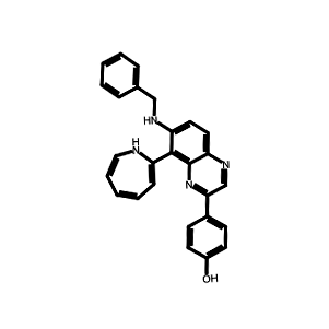 Oc1ccc(-c2cnc3ccc(NCc4ccccc4)c(C4=CC=CC=CN4)c3n2)cc1